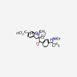 CCNC(C)c1ccc(C(=O)C(CC)(Cc2ccc(C(=O)O)cc2)N(C)C)cc1